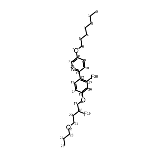 CCCCCCCOc1ccc(-c2ccc(OCC(F)CCOCCC)cc2F)nc1